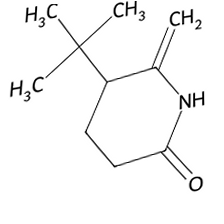 C=C1NC(=O)CCC1C(C)(C)C